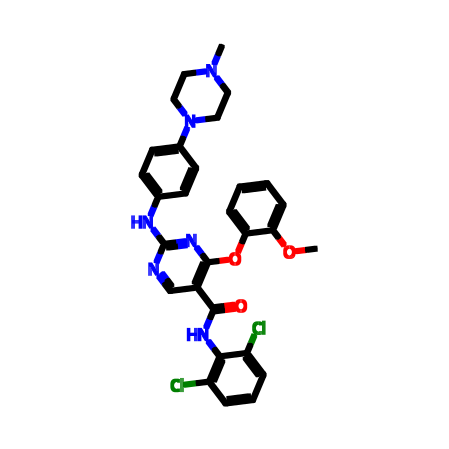 COc1ccccc1Oc1nc(Nc2ccc(N3CCN(C)CC3)cc2)ncc1C(=O)Nc1c(Cl)cccc1Cl